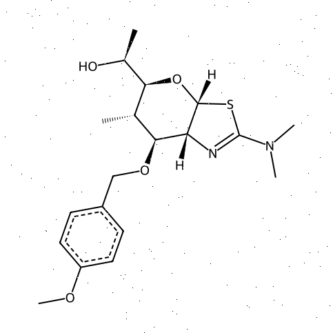 COc1ccc(CO[C@H]2[C@H](C)[C@@H]([C@H](C)O)O[C@@H]3SC(N(C)C)=N[C@H]23)cc1